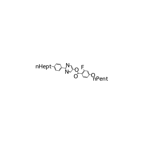 CCCCCCCc1ccc(-c2ncc(OC(=O)c3ccc(OCCCCC)cc3F)cn2)cc1